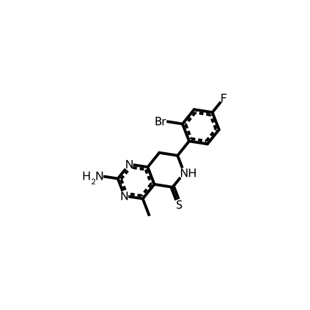 Cc1nc(N)nc2c1C(=S)NC(c1ccc(F)cc1Br)C2